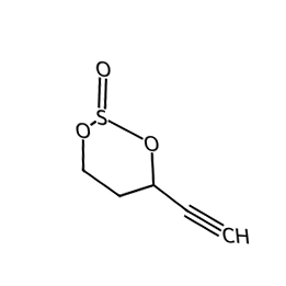 C#CC1CCOS(=O)O1